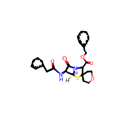 O=C(Cc1ccccc1)NC1C(=O)N2C(C(=O)OCc3ccccc3)C3(CCOCC3)S[C@@H]12